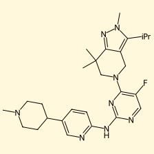 CC(C)c1c2c(nn1C)C(C)(C)CN(c1nc(Nc3ccc(C4CCN(C)CC4)cn3)ncc1F)C2